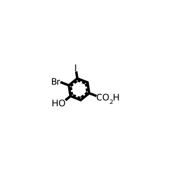 O=C(O)c1cc(O)c(Br)c(I)c1